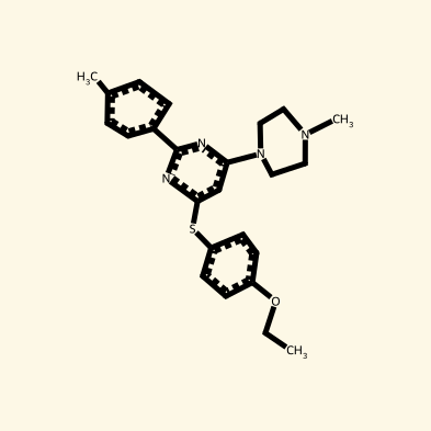 CCOc1ccc(Sc2cc(N3CCN(C)CC3)nc(-c3ccc(C)cc3)n2)cc1